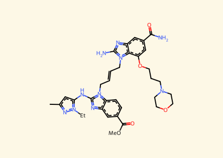 CCn1nc(C)cc1Nc1nc2cc(C(=O)OC)ccc2n1C/C=C/Cn1c(N)nc2cc(C(N)=O)cc(OCCCN3CCOCC3)c21